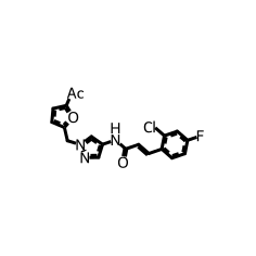 CC(=O)c1ccc(Cn2cc(NC(=O)C=Cc3ccc(F)cc3Cl)cn2)o1